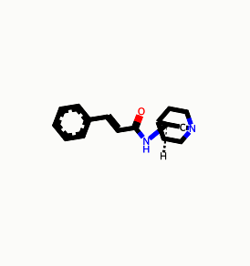 O=C(/C=C/c1ccccc1)N[C@@H]1CN2CCC1CC2